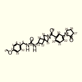 COc1ccc(CNC(=O)NC2CC3(C2)CN(C(=O)c2cccc(N4CCCC4=O)c2)C3)cc1